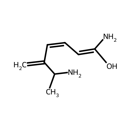 C=C(/C=C\C=C(/N)O)C(C)N